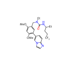 CCC(CCC(F)(F)F)NC(=O)N(CC)Cc1cc(-c2ccc3nccn3c2)c(OC)cc1OC